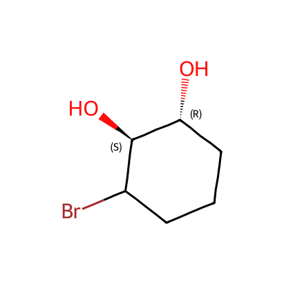 O[C@@H]1CCCC(Br)[C@H]1O